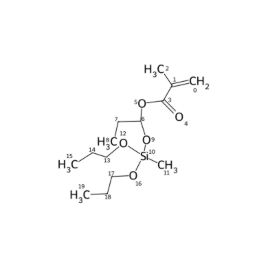 C=C(C)C(=O)OC(CC)O[Si](C)(OCCC)OCCC